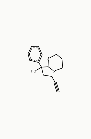 C#CCCC(O)(c1ccccc1)C1SCCCS1